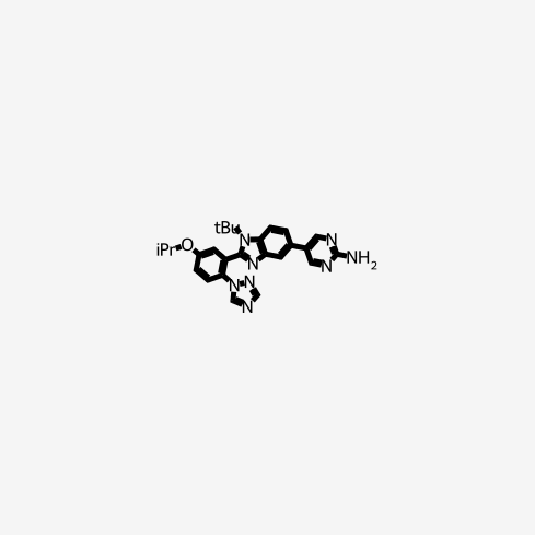 CC(C)Oc1ccc(-n2cncn2)c(-c2nc3cc(-c4cnc(N)nc4)ccc3n2C(C)(C)C)c1